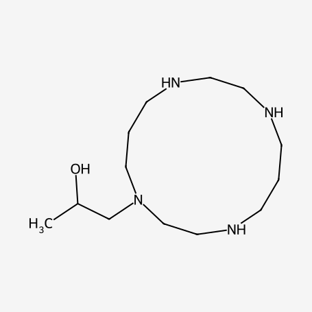 CC(O)CN1CCCNCCNCCCNCC1